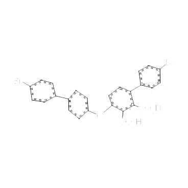 O=C(O)c1c(Oc2ccc(-c3ccc(Br)cc3)cc2)ccc(-c2ccc(Br)cc2)c1C(=O)O